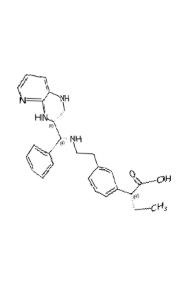 CC[C@@H](C(=O)O)c1cccc(CCN[C@H](c2ccccc2)[C@H]2CNc3cccnc3N2)c1